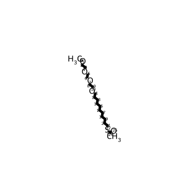 COCCOCCOCCOCCCCCCCCCCCSC(C)=O